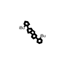 CCC(C)c1ccccc1-c1ccc2c(c1)[CH]c1cc(-c3ccccc3C(C)CC)ccc1-2